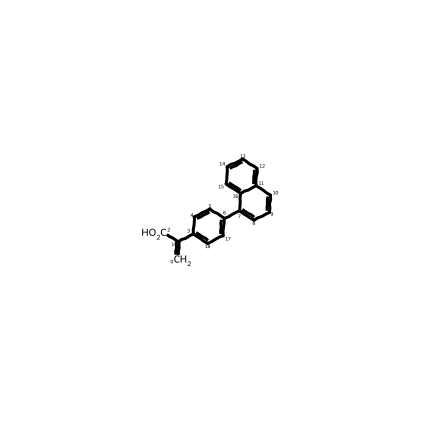 C=C(C(=O)O)c1ccc(-c2cccc3ccccc23)cc1